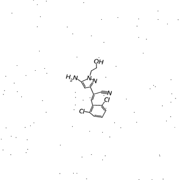 N#CC(=Cc1c(Cl)cccc1Cl)c1cc(N)n(CCO)n1